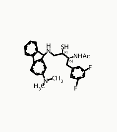 CC(=O)N[C@@H](Cc1cc(F)cc(F)c1)[C@H](S)CNC1c2ccccc2-c2ccc(N(C)C)cc21